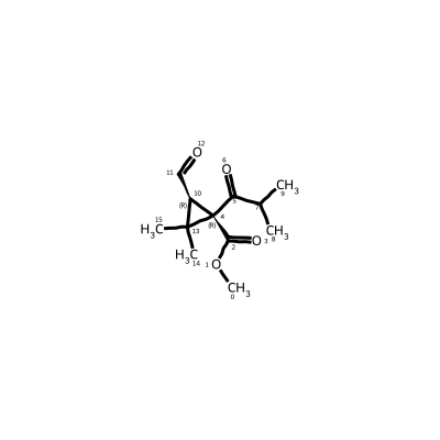 COC(=O)[C@]1(C(=O)C(C)C)[C@H](C=O)C1(C)C